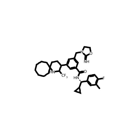 Cc1cc([C@@H](NC(=O)c2cc(CN3CCOC3=N)cc(C3CCC4(CCCCCCC4)NC3C(F)(F)F)c2)C2CC2)ccc1F